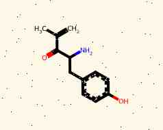 C=C(C)C(=O)C(N)Cc1ccc(O)cc1